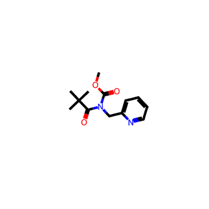 COC(=O)N(Cc1ccccn1)C(=O)C(C)(C)C